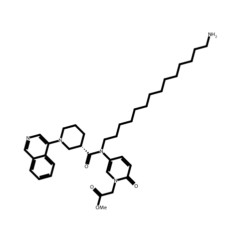 COC(=O)Cn1cc(N(CCCCCCCCCCCCCCN)C(=O)[C@H]2CCCN(c3cncc4ccccc34)C2)ccc1=O